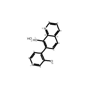 Cl.Oc1c(-c2ccncc2Cl)ccc2cccnc12